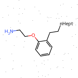 CCCCCCCCCc1ccccc1OCCN